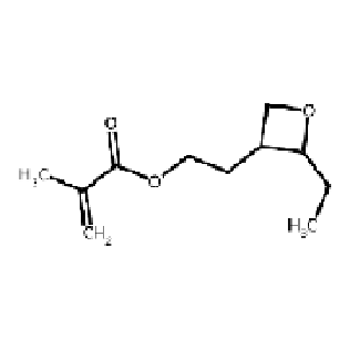 C=C(C)C(=O)OCCC1COC1CC